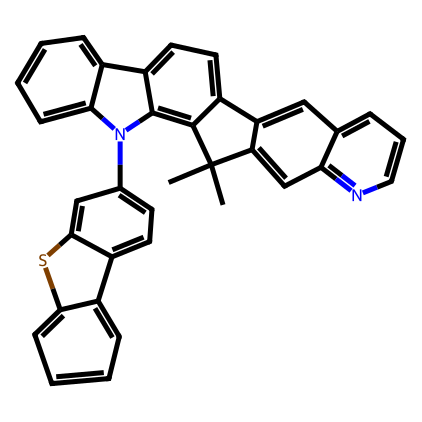 CC1(C)c2cc3ncccc3cc2-c2ccc3c4ccccc4n(-c4ccc5c(c4)sc4ccccc45)c3c21